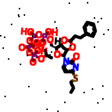 CCCSc1ccn([C@@H]2O[C@H](COP(=O)(O)OP(=O)(O)OP(=O)(O)OP(=O)(O)OC(C)C)[C@@H]3OC(CCc4ccccc4)OC32)c(=O)n1